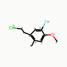 COc1cc(C)c(CCCl)cc1F